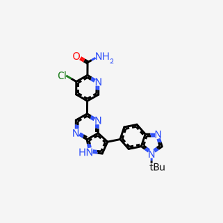 CC(C)(C)n1cnc2ccc(-c3c[nH]c4ncc(-c5cnc(C(N)=O)c(Cl)c5)nc34)cc21